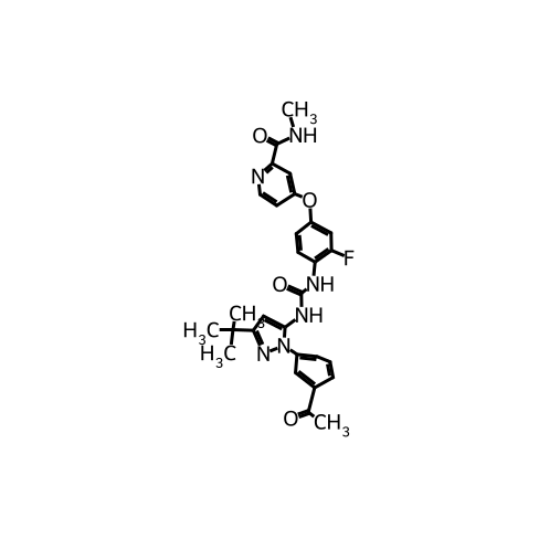 CNC(=O)c1cc(Oc2ccc(NC(=O)Nc3cc(C(C)(C)C)nn3-c3cccc(C(C)=O)c3)c(F)c2)ccn1